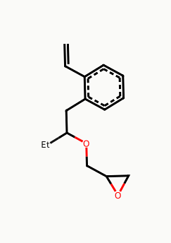 C=Cc1ccccc1CC(CC)OCC1CO1